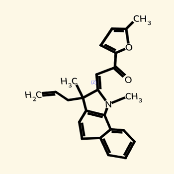 C=CCC1(C)/C(=C/C(=O)c2ccc(C)o2)N(C)c2c1ccc1ccccc21